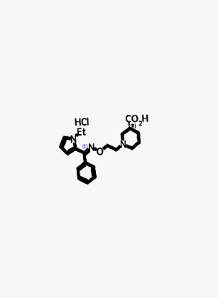 CCn1cccc1/C(=N/OCCN1CCC[C@@H](C(=O)O)C1)c1ccccc1.Cl